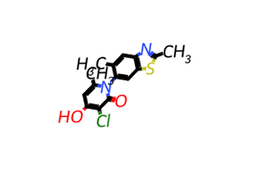 Cc1nc2cc(C)c(-n3c(C)cc(O)c(Cl)c3=O)cc2s1